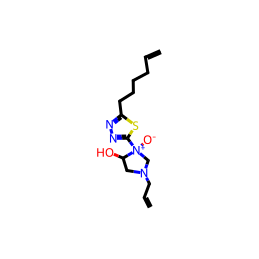 C=CCCCCc1nnc([N+]2([O-])CN(CC=C)CC2O)s1